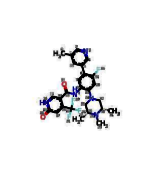 Cc1cncc(-c2cc(NC(=O)c3c[nH]c(=O)cc3C(F)(F)F)c(N3C[C@@H](C)N(C)[C@@H](C)C3)cc2F)c1